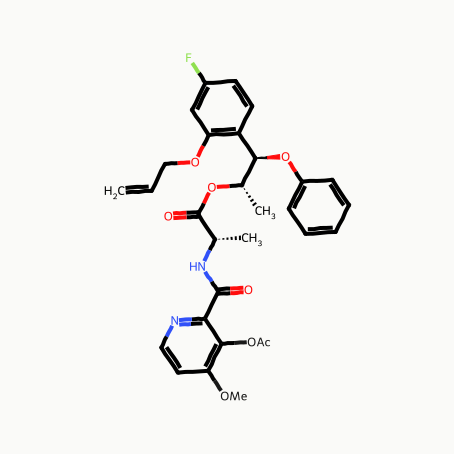 C=CCOc1cc(F)ccc1[C@@H](Oc1ccccc1)[C@H](C)OC(=O)[C@H](C)NC(=O)c1nccc(OC)c1OC(C)=O